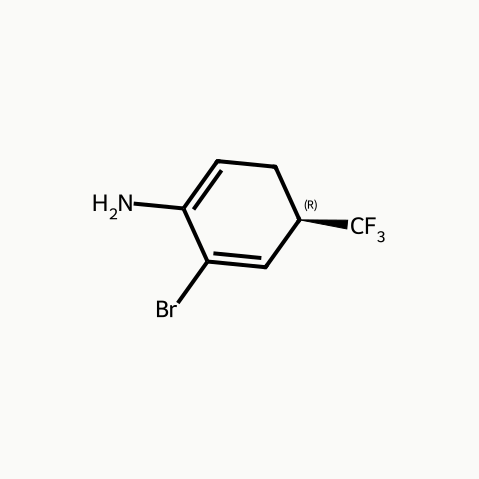 NC1=CC[C@@H](C(F)(F)F)C=C1Br